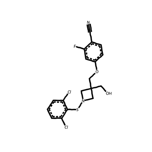 N#Cc1ccc(OCC2(CO)CN(Sc3c(Cl)cccc3Cl)C2)cc1F